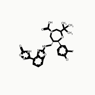 CC(C)(C)C1CN(C(=O)O)C[C@@H](CNc2nc3c(-c4noc(=O)[nH]4)cccc3o2)[C@H](c2ccc(Cl)c(F)c2)O1